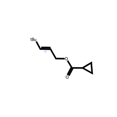 CC(C)(C)/C=C/COC(=O)C1CC1